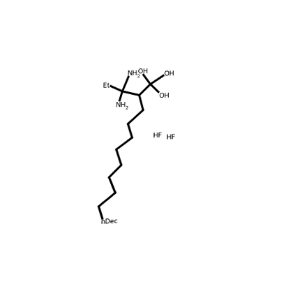 CCCCCCCCCCCCCCCCCCC(C(O)(O)O)C(N)(N)CC.F.F